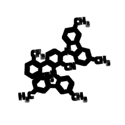 Cc1ccc2c(c1)c1cc(C)ccc1n2-c1ccc(-c2c(C(F)(F)F)cccc2C(F)(F)F)c(-n2c3ccc(C)cc3c3cc(C)ccc32)c1C#N